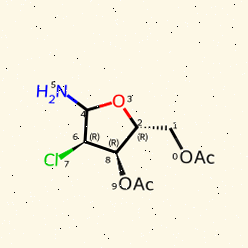 CC(=O)OC[C@H]1OC(N)[C@H](Cl)[C@@H]1OC(C)=O